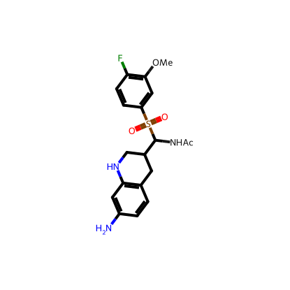 COc1cc(S(=O)(=O)C(NC(C)=O)C2CNc3cc(N)ccc3C2)ccc1F